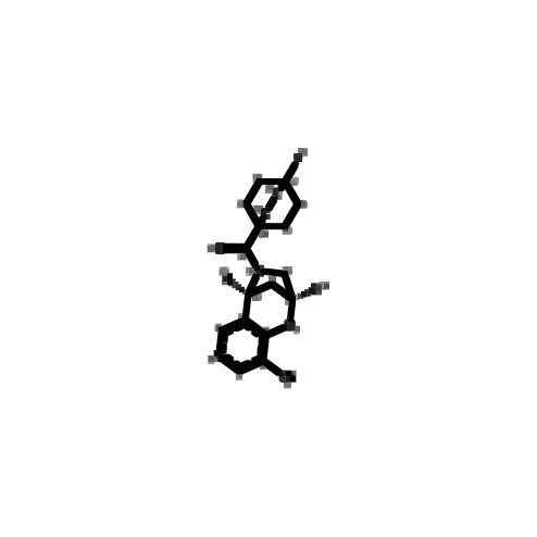 N#Cc1cncc2c1O[C@H]1C[C@@H]2N(C(=O)C23CCC(F)(CC2)CC3)C1